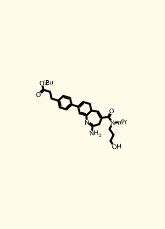 CCCN(CCCO)C(=O)C1=CC2CC=C(c3ccc(CCC(=O)OCC(C)C)cc3)C=C2N=C(N)C1